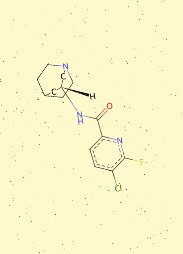 O=C(N[C@@H]1CC2CCN(CC2)C1)c1ccc(Cl)c(F)n1